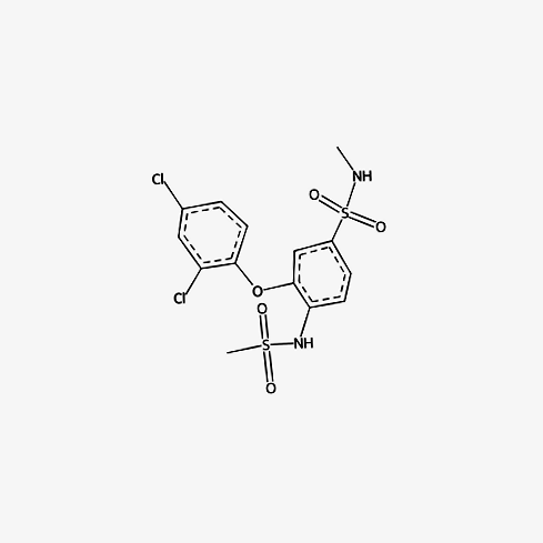 CNS(=O)(=O)c1ccc(NS(C)(=O)=O)c(Oc2ccc(Cl)cc2Cl)c1